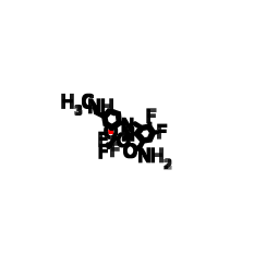 CNCc1ccc(N2Cc3c(F)c(F)cc(C(N)=O)c3N2OC(=O)C(F)(F)F)cc1